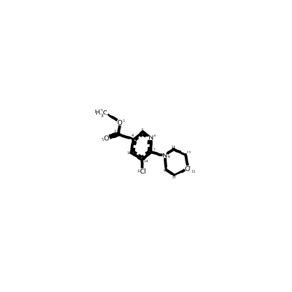 COC(=O)c1cnc(N2CCOCC2)c(Cl)c1